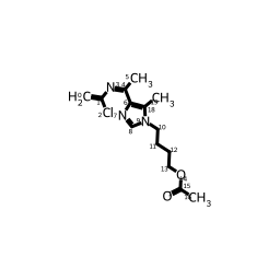 C=C(Cl)/N=C(/C)c1ncn(CCCCOC(C)=O)c1C